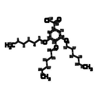 CCCCCCOc1cc(C(=O)Cl)cc(OCCCCCC)c1OCCCCCC